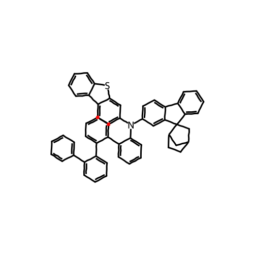 c1ccc(-c2ccccc2-c2ccccc2-c2ccccc2N(c2ccc3c(c2)C2(CC4CCC2C4)c2ccccc2-3)c2ccc3c(c2)sc2ccccc23)cc1